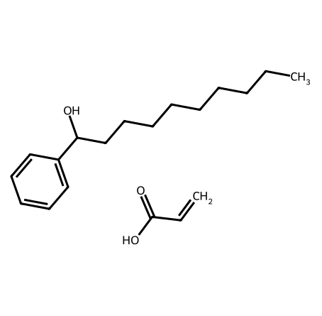 C=CC(=O)O.CCCCCCCCCC(O)c1ccccc1